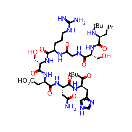 CC(C)C[C@H](NC(C)(C)C)C(=O)N[C@H](CO)C(=O)NCC(=O)N[C@H](CCCNC(=N)N)C(=O)N[C@@H](CO)C(=O)N[C@H](CC(=O)O)C(=O)N[C@@H](CC(N)=O)C(=O)N[C@H](Cc1c[nH]cn1)C(=O)C(C)(C)C